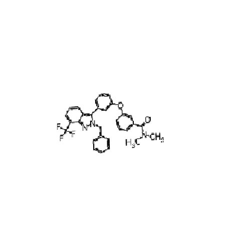 CN(C)C(=O)c1cccc(Oc2cccc(-c3c4cccc(C(F)(F)F)c4nn3Cc3ccccc3)c2)c1